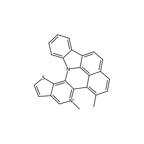 Cc1ccc2ccc3c4ccccc4n4c3c2c1c1c4c2sccc2c[n+]1C